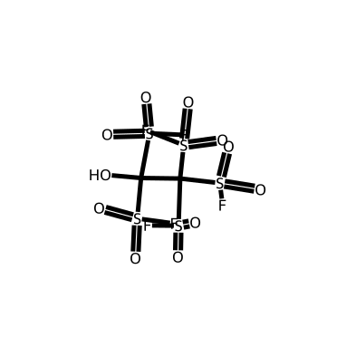 O=S(=O)(F)C(O)(C(S(=O)(=O)F)(S(=O)(=O)F)S(=O)(=O)F)S(=O)(=O)F